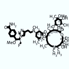 CC[C@H]1OC(=O)[C@H](C)[C@@H](O[C@H]2C[C@@](C)(OC)[C@@H](O)[C@H](C)O2)[C@H](C)[C@@H](O[C@H]2C[C@@H](N(C)CCc3cn([C@H](CF)[C@H](OC)c4ccc(C(N)=O)cc4)nn3)C[C@@H](C)O2)[C@](C)(O)C[C@@H](C)CN(C)[C@H](C)[C@@H](O)[C@]1(C)O